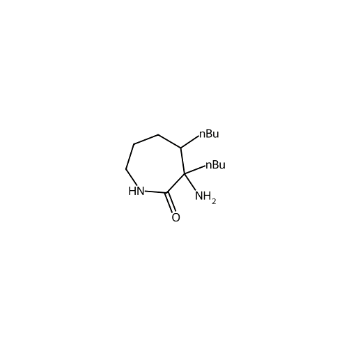 CCCCC1CCCNC(=O)C1(N)CCCC